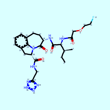 CC[C@H](C)[C@H](NC(=O)COCCF)C(=O)N[C@H]1CCc2cccc3c2N(C1=O)[C@H](C(=O)NCc1nn[nH]n1)C3